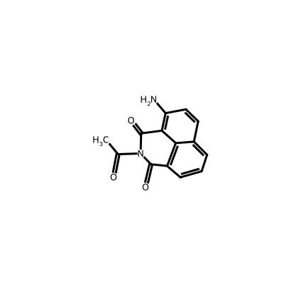 CC(=O)N1C(=O)c2cccc3ccc(N)c(c23)C1=O